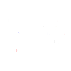 Cc1ccc2c([N+](C)(C)[SH](=O)=O)ccc(O)c2n1